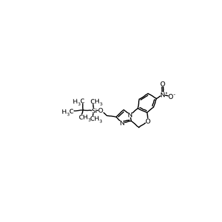 CC(C)(C)[Si](C)(C)OCc1cn2c(n1)COc1cc([N+](=O)[O-])ccc1-2